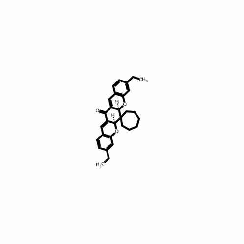 CCc1ccc2c(c1)O[C@@H]1C(=C2)C(=O)C2=Cc3ccc(CC)cc3O[C@@H]2C12CCCCCC2